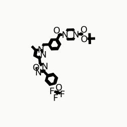 Cc1cc(-c2nc(-c3ccc(OC(F)(F)F)cc3)no2)nn1Cc1cccc(C(=O)N2CCN(C(=O)OC(C)(C)C)CC2)c1